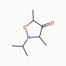 CC1ON(C(C)C)C(C)C1=O